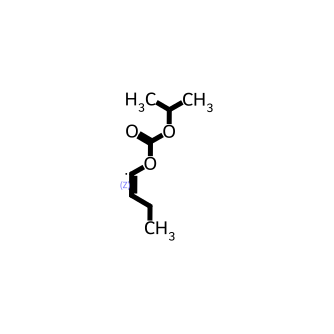 CC/C=[C]\OC(=O)OC(C)C